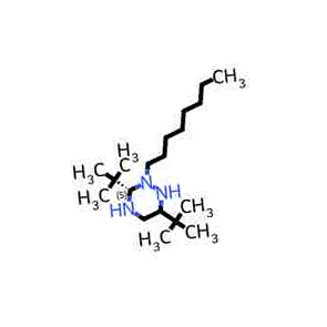 CCCCCCCCN1NC(C(C)(C)C)CN[C@@H]1C(C)(C)C